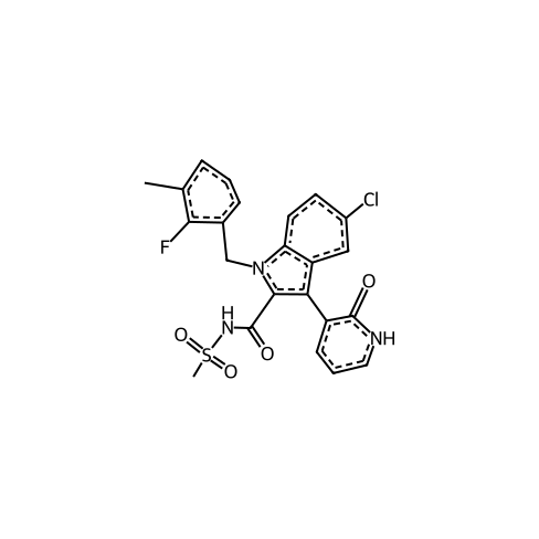 Cc1cccc(Cn2c(C(=O)NS(C)(=O)=O)c(-c3ccc[nH]c3=O)c3cc(Cl)ccc32)c1F